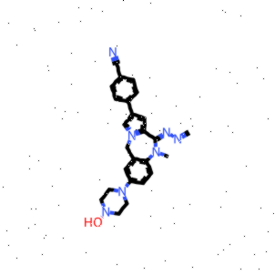 C=N/N=C1/c2cc(-c3ccc(C#N)cc3)cn2Cc2cc(N3CCN(O)CC3)ccc2N1C